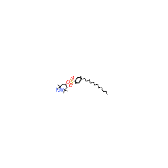 CCCCCCCCCCCCc1ccc(S(=O)(=O)OC2CC(C)(C)NC(C)(C)C2)cc1